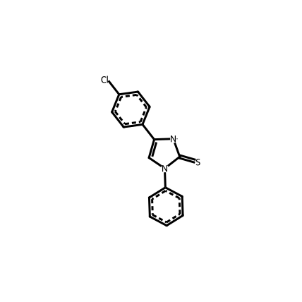 S=C1[N]C(c2ccc(Cl)cc2)=CN1c1ccccc1